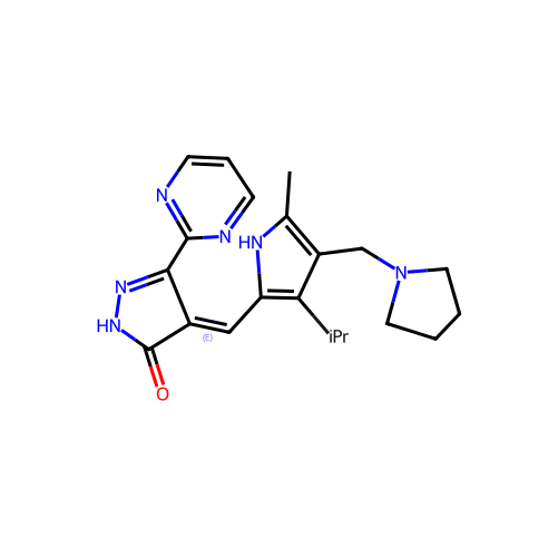 Cc1[nH]c(/C=C2/C(=O)NN=C2c2ncccn2)c(C(C)C)c1CN1CCCC1